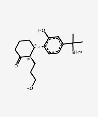 CCCCCCC(C)(C)c1ccc([C@H]2CCCC(=O)[C@@H]2CCCO)c(O)c1